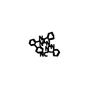 N#Cc1nc(-n2c3ccccc3c3nc4c5ccccc5c5ccccc5n4c32)nc2ccccc12